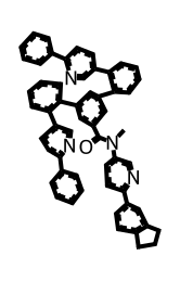 CN(C(=O)c1cc(-c2ccccc2-c2ccc(-c3ccccc3)nc2)cc(-c2ccccc2-c2ccc(-c3ccccc3)nc2)c1)c1ccc(-c2ccc3c(c2)CCC3)nc1